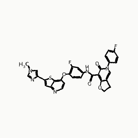 Cn1cnc(-c2cc3nccc(Oc4ccc(NC(=O)c5c6c(cn(-c7ccc(F)cc7)c5=O)CCO6)cc4F)c3s2)c1